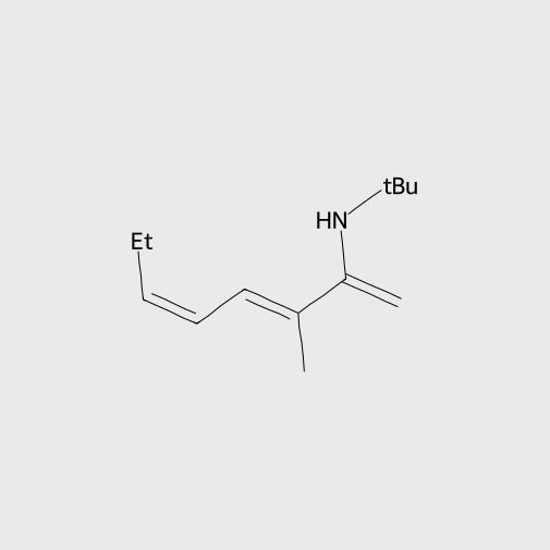 C=C(NC(C)(C)C)/C(C)=C/C=C\CC